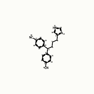 N#Cc1ccc(C(CCCc2c[nH]cn2)c2ccc(C#N)cc2)cc1